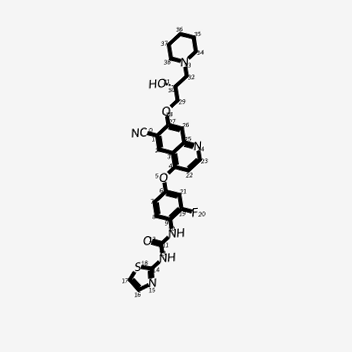 N#Cc1cc2c(Oc3ccc(NC(=O)Nc4nccs4)c(F)c3)ccnc2cc1OC[C@H](O)CN1CCCCC1